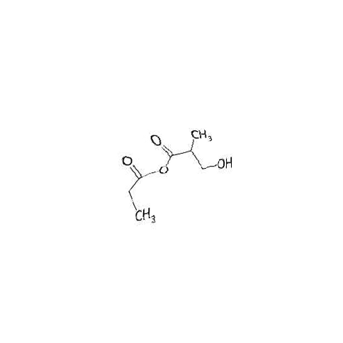 CCC(=O)OC(=O)C(C)CO